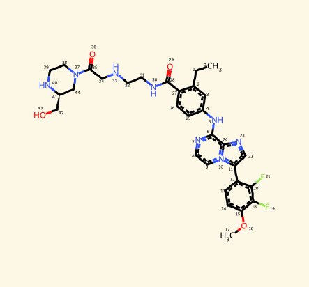 CCc1cc(Nc2nccn3c(-c4ccc(OC)c(F)c4F)cnc23)ccc1C(=O)NCCNCC(=O)N1CCN[C@H](CO)C1